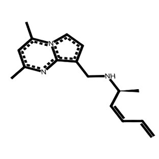 C=C/C=C\[C@H](C)NCc1ccn2c(C)cc(C)nc12